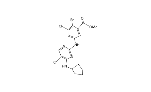 COC(=O)c1cc(Nc2ncc(Cl)c(NC3CCCC3)n2)cc(Cl)c1Br